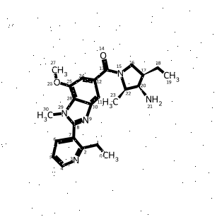 CCc1ncccc1-c1nc2cc(C(=O)N3C[C@@H](CC)[C@@H](N)[C@H]3C)cc(OC)c2n1C